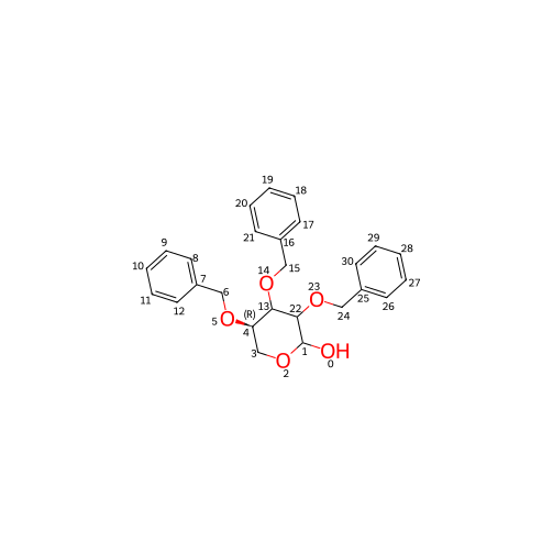 OC1OC[C@@H](OCc2ccccc2)C(OCc2ccccc2)C1OCc1ccccc1